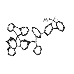 CC1(C)c2ccccc2-c2ccc(-c3cccc(N(c4ccccc4)c4ccc5c(c4)C4(c6ccccc6-c6ccccc64)c4ccc6ccccc6c4-5)c3)cc21